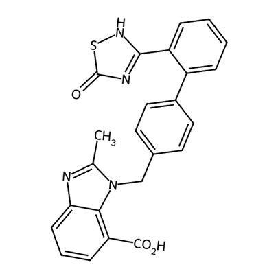 Cc1nc2cccc(C(=O)O)c2n1Cc1ccc(-c2ccccc2-c2nc(=O)s[nH]2)cc1